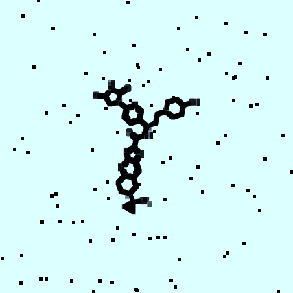 O=C1CN(c2ccc([C@@H](CCN3CCC(O)CC3)NC(=O)c3nc4cc5c(nc4s3)CC[C@H](C3(C(F)(F)F)CC3)C5)cn2)C(=O)N1